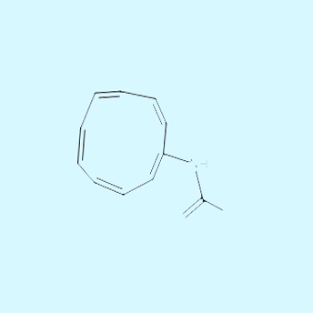 CC(=O)Nc1ccccccccc1